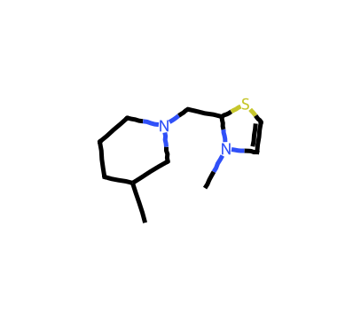 CC1CCCN(CC2SC=CN2C)C1